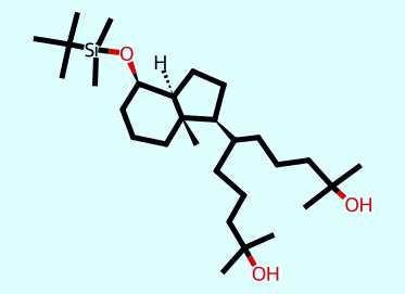 CC(C)(O)CCCC(CCCC(C)(C)O)[C@@H]1CC[C@@H]2[C@H](O[Si](C)(C)C(C)(C)C)CCC[C@]21C